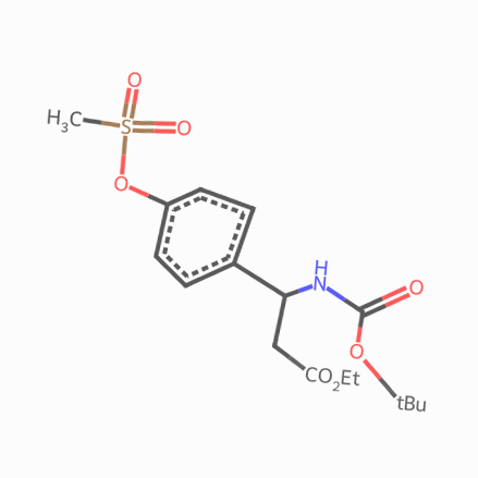 CCOC(=O)CC(NC(=O)OC(C)(C)C)c1ccc(OS(C)(=O)=O)cc1